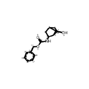 O=C(NC1CC2CC(O)C1C2)OCc1ccccc1